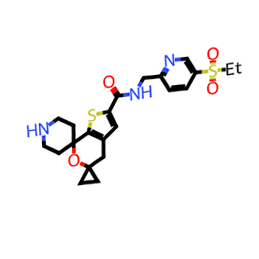 CCS(=O)(=O)c1ccc(CNC(=O)c2cc3c(s2)C2(CCNCC2)OC2(CC2)C3)nc1